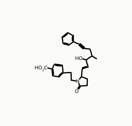 CC(CC#Cc1ccccc1)C(O)/C=C/C1CCC(=O)N1CCc1ccc(C(=O)O)cc1